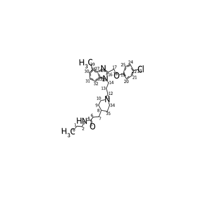 CCCNC(=O)CCC1CCN(CCCn2c(COc3ccc(Cl)cc3)nc3c(C)cccc32)CC1